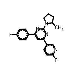 CC1CCCN1c1nc(-c2ccc(F)cc2)cc(-c2ccc(F)nc2)n1